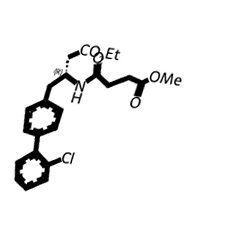 CCOC(=O)C[C@@H](Cc1ccc(-c2ccccc2Cl)cc1)NC(=O)CCC(=O)OC